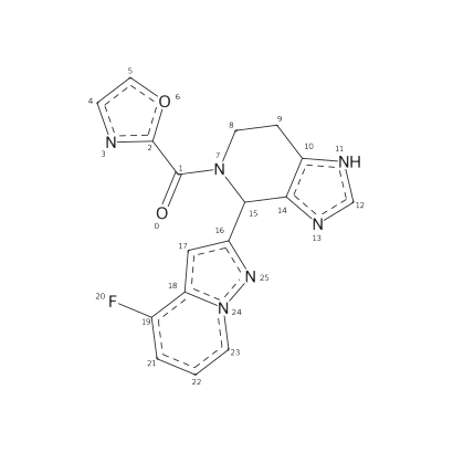 O=C(c1ncco1)N1CCc2[nH]cnc2C1c1cc2c(F)cccn2n1